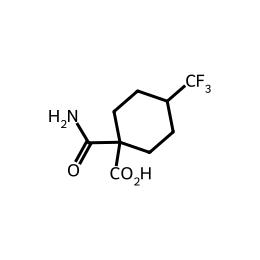 NC(=O)C1(C(=O)O)CCC(C(F)(F)F)CC1